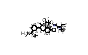 C=C/C(=C\C=C(/N)OC(C)(C)C(=O)NC(C)C(Cc1ccc(Cl)cc1)c1cccc(C(=N)N)c1)C(F)(F)F